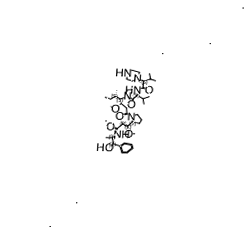 CC[C@H](C)[C@@H](C(CC(=O)N1CCC[C@H]1[C@H](OC)[C@@H](C)C(=O)N[C@H](C)[C@@H](O)c1ccccc1)OC)N(C)C(=O)[C@@H](NC(=O)[C@H](C(C)C)N1CCNCC1)C(C)C